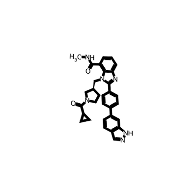 CNC(=O)c1cccc2nc(-c3ccc(-c4ccc5cn[nH]c5c4)cc3)n(C[C@H]3CCN(C(=O)C4CC4)C3)c12